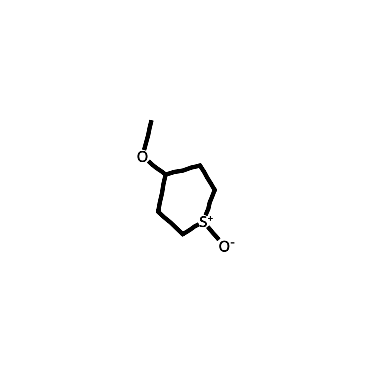 COC1CC[S+]([O-])CC1